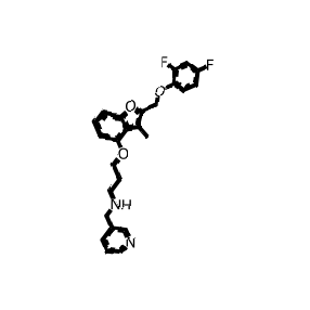 Cc1c(COc2ccc(F)cc2F)oc2cccc(OCCCNCc3cccnc3)c12